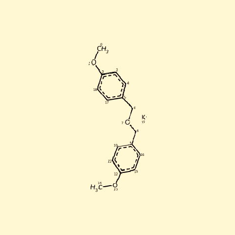 COc1ccc(COCc2ccc(OC)cc2)cc1.[K]